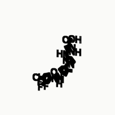 Cc1cc(NC(=O)Nc2ccc(Cl)c(C(F)(F)F)c2)ccc1-c1nccc(Nc2cc(C(=O)O)n[nH]2)n1